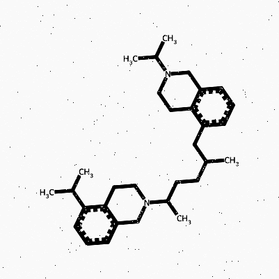 CC(CCC(C)N1CCc2c(cccc2C(C)C)C1)Cc1cccc2c1CCN(C(C)C)C2